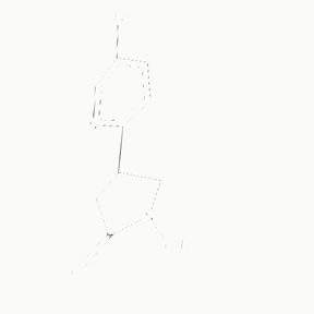 CN1CC(c2ccc(Br)cn2)CC1=O